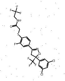 O=C(CSc1ccc(C2=NO[C@@](c3cc(Cl)cc(Cl)c3)(C(F)(F)F)C2)cc1F)NCC(F)(F)F